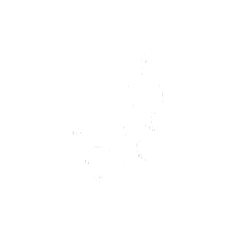 C/N=C(/C)c1cnc(Nc2ccc(C(F)(F)F)cc2)s1